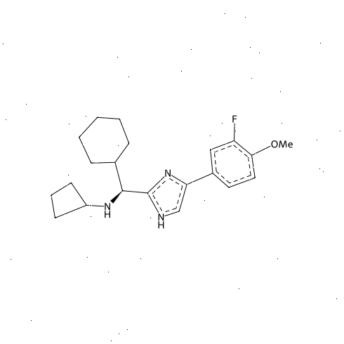 COc1ccc(-c2c[nH]c([C@@H](NC3CCC3)C3CCCCC3)n2)cc1F